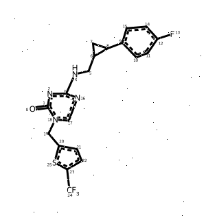 O=c1nc(NCC2CC2c2ccc(F)cc2)ncn1Cc1ccc(C(F)(F)F)s1